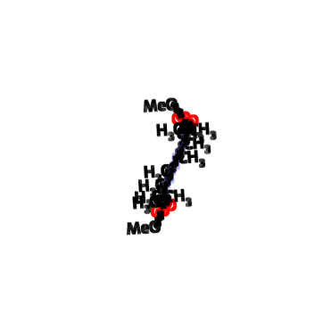 COCCCC(=O)OC1CC(C)(C)C(/C=C/C(C)=C/C=C/C(C)=C/C=C/C=C(C)/C=C/C=C(C)/C=C/C2=C(C)C(=O)C(OC(=O)CCCOC)CC2(C)C)=C(C)C1=O